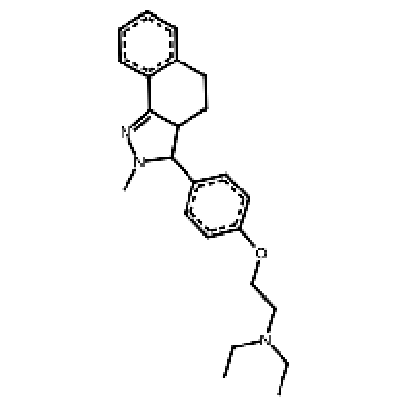 CCN(CC)CCOc1ccc(C2C3CCc4ccccc4C3=NN2C)cc1